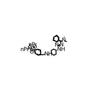 CCCN(CCC)S(=O)(=O)c1ccc(CNC[C@H]2CC[C@@H](Nc3nc(N(C)C)c4ccccc4n3)CC2)cc1